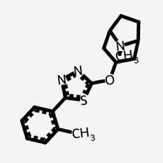 Cc1ccccc1-c1nnc(OC2CC3CCC(C2)N3C)s1